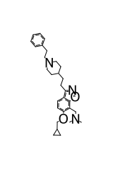 CN(C)Cc1c(OCC2CC2)ccc2c(CCC3CCN(CCc4ccccc4)CC3)noc12